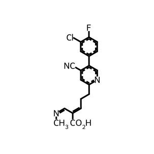 C/N=C\C(=C/CCc1cc(C#N)c(-c2ccc(F)c(Cl)c2)cn1)C(=O)O